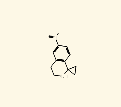 O=[N+]([O-])c1ccc2c(c1)CCNC21CC1